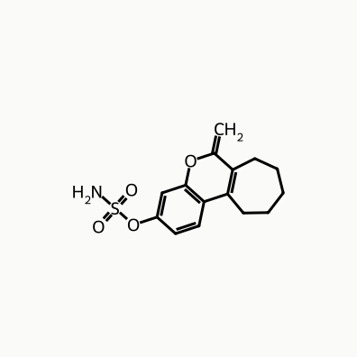 C=C1Oc2cc(OS(N)(=O)=O)ccc2C2=C1CCCCC2